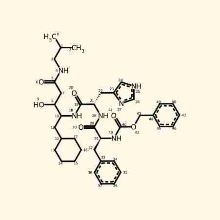 CC(C)CNC(=O)CC(O)C(CC1CCCCC1)NC(=O)[C@H](Cc1c[nH]cn1)NC(=O)[C@H](Cc1ccccc1)NC(=O)OCc1ccccc1